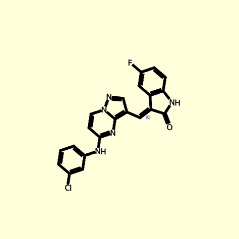 O=C1Nc2ccc(F)cc2/C1=C\c1cnn2ccc(Nc3cccc(Cl)c3)nc12